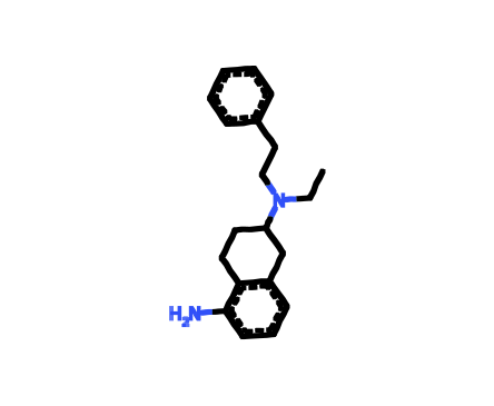 CCN(CCc1ccccc1)C1CCc2c(N)cccc2C1